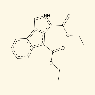 CCOC(=O)c1[nH]cc2c3ccccc3n(C(=O)OCC)c12